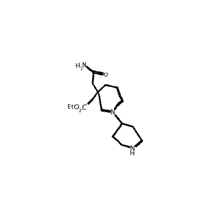 CCOC(=O)C1(CC(N)=O)CCCN(C2CCNCC2)C1